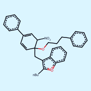 CCCCc1oc2ccccc2c1CC1(OCCCc2ccccc2)C=CC(c2ccccc2)=CC1[N+](=O)[O-]